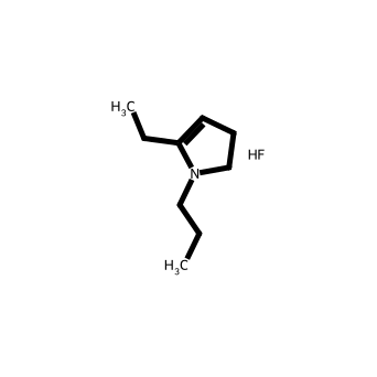 CCCN1CCC=C1CC.F